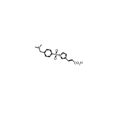 CN(C)Cc1ccc(S(=O)(=O)n2ccc(/C=C/C(=O)O)c2)cc1